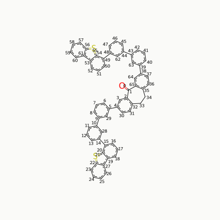 O=C1c2cc(-c3cccc(-c4cccc(-c5cccc6c5sc5ccccc56)c4)c3)ccc2CCc2ccc(-c3cccc(-c4cccc(-c5cccc6c5sc5ccccc56)c4)c3)cc21